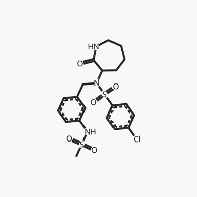 CS(=O)(=O)Nc1cccc(CN(C2CCCCNC2=O)S(=O)(=O)c2ccc(Cl)cc2)c1